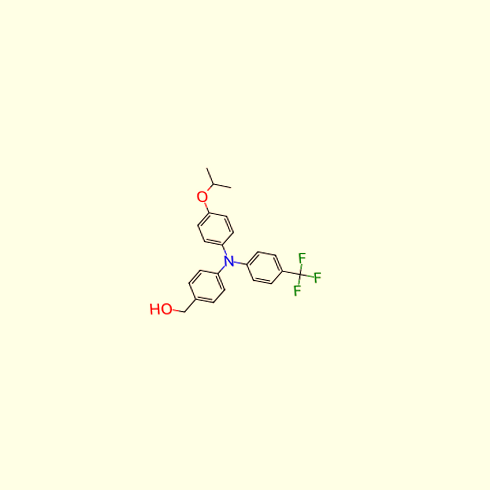 CC(C)Oc1ccc(N(c2ccc(CO)cc2)c2ccc(C(F)(F)F)cc2)cc1